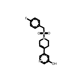 O=S(=O)(Cc1ccc(F)cc1)N1CC=C(c2cncc(O)c2)CC1